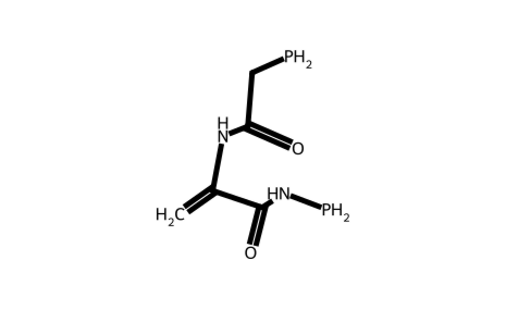 C=C(NC(=O)CP)C(=O)NP